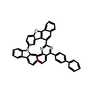 c1ccc(-c2ccc(-c3nc(-c4cc5ccccc5c5oc6ccc(-n7c8ccccc8c8ccccc87)cc6c45)nc4ccccc34)cc2)cc1